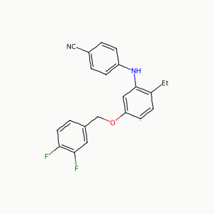 CCc1c[c]c(OCc2ccc(F)c(F)c2)cc1Nc1ccc(C#N)cc1